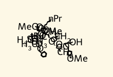 C=C1C[C@H](C[C@@H]2CC(=C)C[C@H](C=CC(C)(C)C3(OC)OC(C[C@@H](O[Si](C)(C)C(C)(C)C)[C@@H](C)OCOCc4ccccc4)CC(=CC(=O)OC)C3OC(=O)C=CC=CCCC)O2)O[C@H](CC(CCO)OCc2ccc(OC)cc2)C1